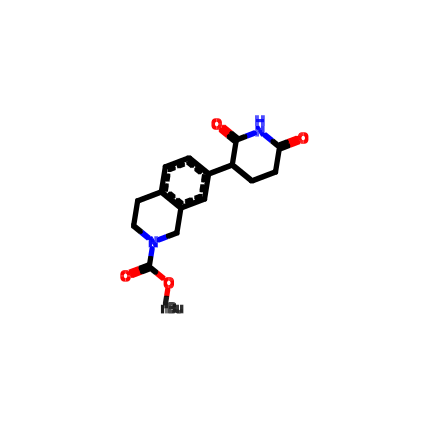 CCCCOC(=O)N1CCc2ccc(C3CCC(=O)NC3=O)cc2C1